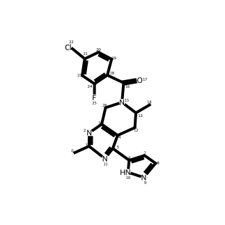 Cc1nc2c(c(-c3ccn[nH]3)n1)CC(C)N(C(=O)c1ccc(Cl)cc1F)C2